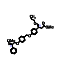 C=CCO/C=C(/CC(=O)OC)c1ccc(OCc2ccc(OC/C(=N\OC)c3ccccc3)cc2)cc1